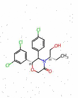 CC[C@@H](CO)N1C(=O)CO[C@H](c2cc(Cl)cc(Cl)c2)C1c1ccc(Cl)cc1